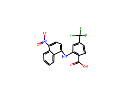 O=C(O)c1ccc(C(F)(F)F)cc1Nc1ccc([N+](=O)[O-])c2ccccc12